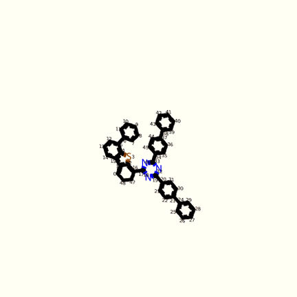 C1=c2c(sc3c(-c4ccccc4)cccc23)=C(c2nc(-c3ccc(-c4ccccc4)cc3)nc(-c3ccc(-c4ccccc4)cc3)n2)CC1